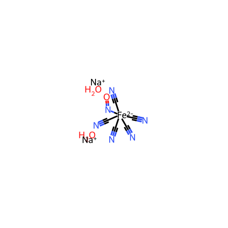 N#[C][Fe-2]([C]#N)([C]#N)([C]#N)([C]#N)[N]=O.O.O.[Na+].[Na+]